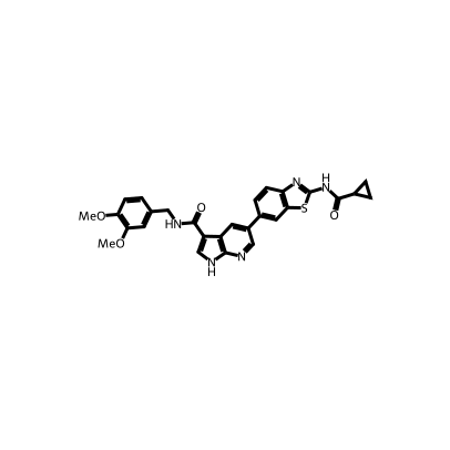 COc1ccc(CNC(=O)c2c[nH]c3ncc(-c4ccc5nc(NC(=O)C6CC6)sc5c4)cc23)cc1OC